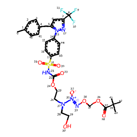 Cc1ccc(-c2cc(C(F)(F)F)nn2-c2ccc(S(=O)(=O)NC(=O)OCCN(CCO)/[N+]([O-])=N/OCOC(=O)C(C)(C)C)cc2)cc1